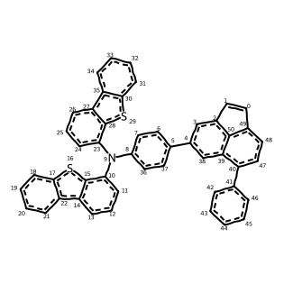 C1=Cc2cc(-c3ccc(N(c4cccc5c4sc4ccccc45)c4cccc5c4sc4ccccc45)cc3)cc3c(-c4ccccc4)ccc1c23